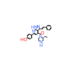 CC[C@H]1CNCCN1C(=O)c1cc(-c2ccc(O)cc2)nc2[nH]nc(/C=C/c3ccccc3)c12